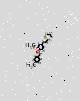 COc1cc(/C=C/C2SCCCS2)ccc1OCc1ccc(C)cc1